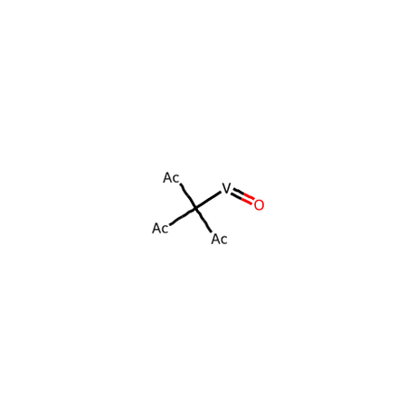 CC(=O)[C]([V]=[O])(C(C)=O)C(C)=O